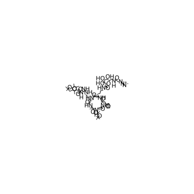 Cc1c(C)c(S(=O)(=O)NC(=N)NCCC[C@@H]2NC(=O)[C@H](CCCCNC(=O)C3OC(CNC(=O)CN=[N+]=[N-])C(O)C(O)C3O)NC(=O)[C@@H](Cc3ccccc3)NC(=O)[C@H](CC(=O)OC(C)(C)C)NC(=O)[C@H](C)NC2=O)c(C)c2c1OC(C)(C)C2